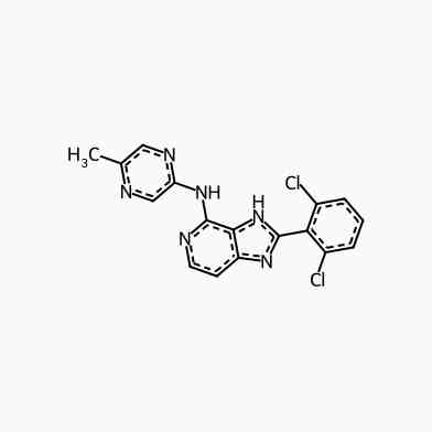 Cc1cnc(Nc2nccc3nc(-c4c(Cl)cccc4Cl)[nH]c23)cn1